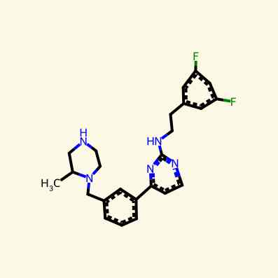 CC1CNCCN1Cc1cccc(-c2ccnc(NCCc3cc(F)cc(F)c3)n2)c1